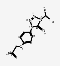 C=C(CC)COc1ccc(-n2nnn(C(F)F)c2=O)cc1